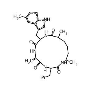 C=C1NC(=O)C(Cc2c[nH]c3ccc(C)cc23)NC(=O)C(C)CCCC(C)NC(=O)C(CC(C)C)NC1=O